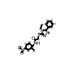 CCn1c(SCC(=O)Nc2ccc([N+](=O)[O-])cc2C)nnc1-c1ccccc1